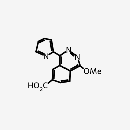 COc1nnc(-c2ccccn2)c2cc(C(=O)O)ccc12